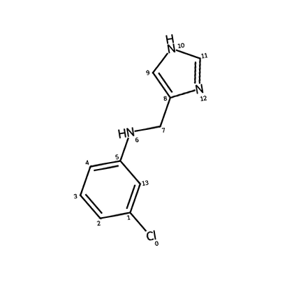 Clc1cccc(NCc2c[nH]cn2)c1